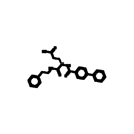 O=C(O)CC[C@H](NC(=O)c1ccc(-c2ccccc2)cc1)C(=O)NCCc1ccccc1